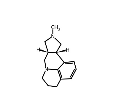 CN1C[C@H]2CN3CCCc4cccc(c43)[C@H]2C1